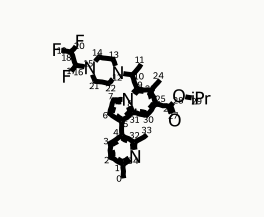 Cc1ccc(-c2ccn3c(C(C)N4CCN(C(F)C(F)F)CC4)c(C)c(C(=O)OC(C)C)cc23)c(C)n1